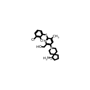 Cc1cc(N2CCC3(CCC[C@H]3N)CC2)c(CO)nc1Sc1cccc(Cl)c1Cl